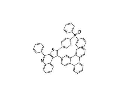 O=P(c1ccccc1)(c1ccccc1)c1ccc(-c2sc3c(-c4ccccc4)nc4ccccc4c3c2-c2ccc3c4ccccc4c4ccccc4c3c2)cc1